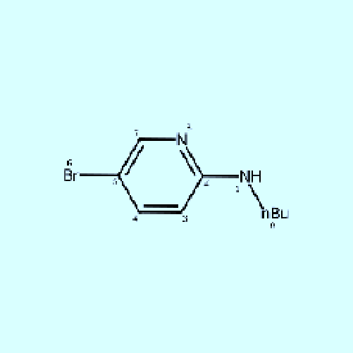 CCCCNc1ccc(Br)cn1